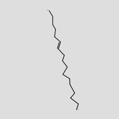 [CH2]CCCC/C=C/CCCCCCCCC[CH2]